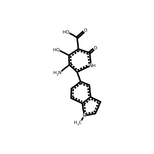 Cn1ccc2cc(-c3[nH]c(=O)c(C(=O)O)c(O)c3N)ccc21